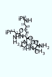 CC(C)C[C@H](N)C(=O)N[C@@H](CCCCNC(C)C)C(=O)N1CCC[C@H]1C(=O)N[C@@H](C)C(N)=O